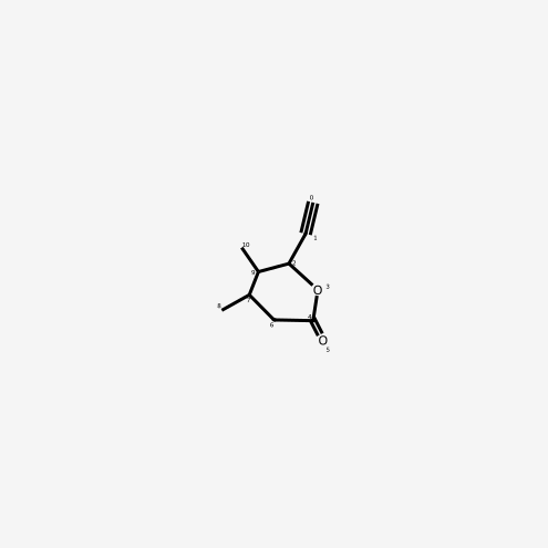 C#CC1OC(=O)CC(C)C1C